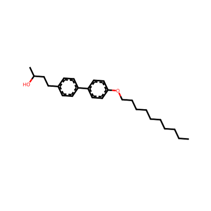 CCCCCCCCCCOc1ccc(-c2ccc(CCC(C)O)cc2)cc1